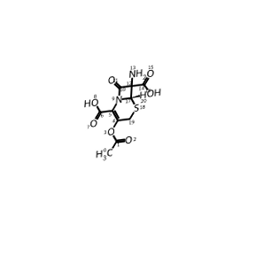 CC(=O)OC1=C(C(=O)O)N2C(=O)C(N)(C(=O)O)[C@@H]2SC1